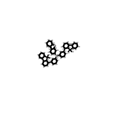 CC1(C)c2ccccc2-c2cccc(-c3cccc(N(c4cccc(-c5cccc6c5C(C)(C)c5ccccc5-6)c4)c4ccc5c(c4)sc4ccccc45)c3)c21